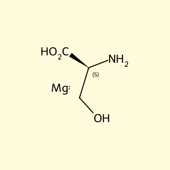 N[C@@H](CO)C(=O)O.[Mg]